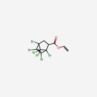 C=COC(=O)C1CC2(Br)C(Br)=C(Br)C1(Br)C2(Br)Br